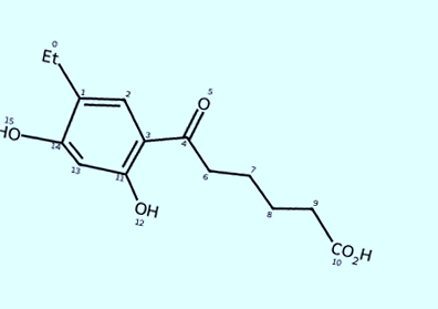 CCc1cc(C(=O)CCCCC(=O)O)c(O)cc1O